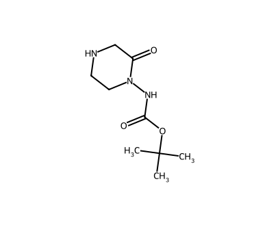 CC(C)(C)OC(=O)NN1CCNCC1=O